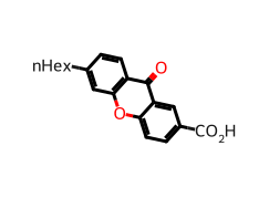 CCCCCCc1ccc2c(=O)c3cc(C(=O)O)ccc3oc2c1